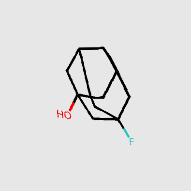 OC12CC3CC(C1)CC(F)(C3)C2